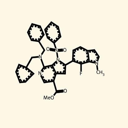 COC(=O)c1cnc(N(Cc2ccccc2)Cc2ccccc2)c2c1cc(-c1ccc3ccn(C)c3c1F)n2S(=O)(=O)c1ccccc1